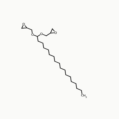 CCCCCCCCCCCCCCCCCC(OCC1CO1)OCC1CO1